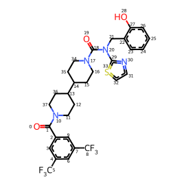 O=C(c1cc(C(F)(F)F)cc(C(F)(F)F)c1)N1CCC(C2CCN(C(=O)N(Cc3ccccc3O)c3nccs3)CC2)CC1